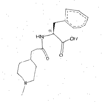 CN1CCC(CC(=O)N[C@@H](Cc2ccccc2)C(=O)O)CC1